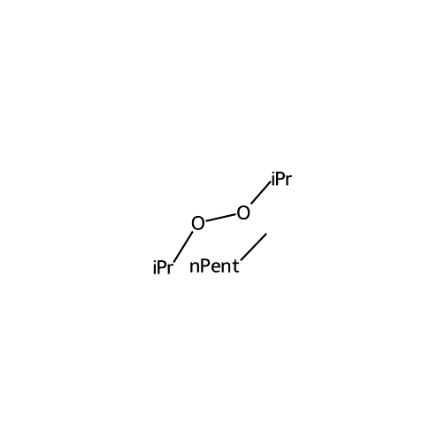 CC(C)OOC(C)C.CCCCCC